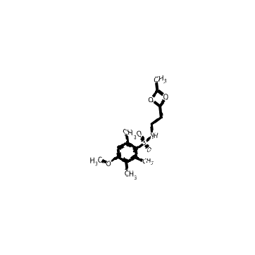 COc1cc(C)c(S(=O)(=O)NCCC2OC(C)O2)c(C)c1C